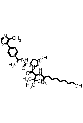 Cc1ncsc1-c1ccc(C(C)NC(=O)[C@@H]2C[C@@H](O)CN2C(=O)C(NC(=O)CCCCCCCO)C(C)(C)C)cc1